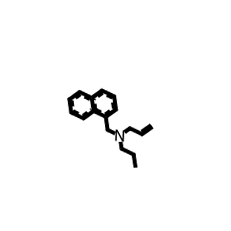 C=CCN(CCC)Cc1cccc2ccccc12